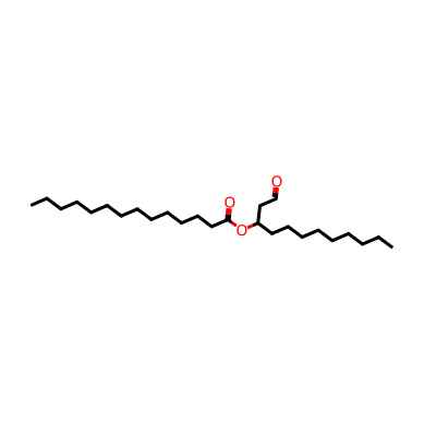 CCCCCCCCCCCCCC(=O)OC(CC=O)CCCCCCCCC